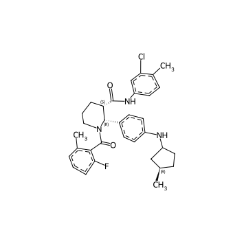 Cc1ccc(NC(=O)[C@H]2CCCN(C(=O)c3c(C)cccc3F)[C@H]2c2ccc(NC3CC[C@@H](C)C3)cc2)cc1Cl